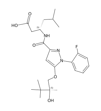 CC(C)C[C@@H](CC(=O)O)NC(=O)c1cc(OC[C@@](C)(O)C(C)(C)C)n(-c2ccccc2F)n1